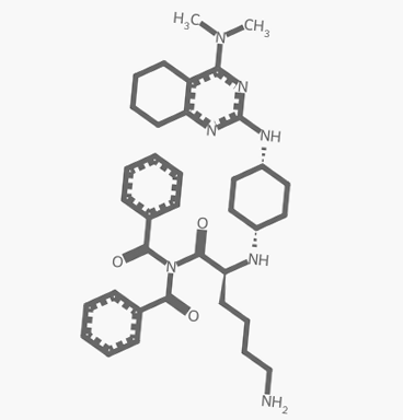 CN(C)c1nc(N[C@H]2CC[C@@H](N[C@@H](CCCCN)C(=O)N(C(=O)c3ccccc3)C(=O)c3ccccc3)CC2)nc2c1CCCC2